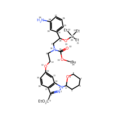 CCOC(=O)c1nn(C2CCCCO2)c2cc(OCCN(CC(O[Si](CC)(CC)CC)c3cccc(N)c3)C(=O)OC(C)(C)C)ccc12